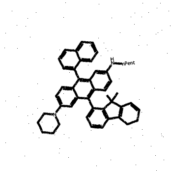 CCCCCNc1ccc2c(-c3cccc4c3C(C)(C)C3=C4CCC=C3)c3cc(N4CCCCC4)ccc3c(-c3cccc4ccccc34)c2c1